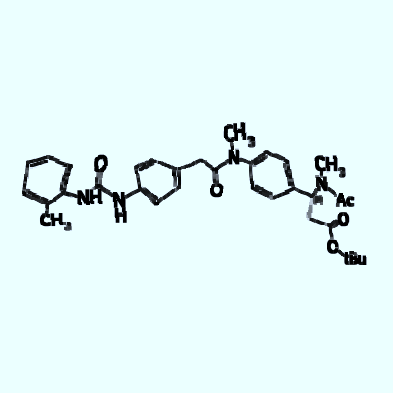 CC(=O)N(C)[C@H](CC(=O)OC(C)(C)C)c1ccc(N(C)C(=O)Cc2ccc(NC(=O)Nc3ccccc3C)cc2)cc1